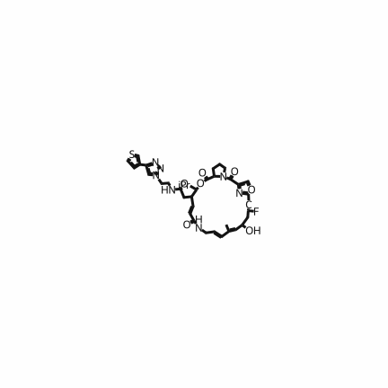 CC1=C\C(O)CC(F)Cc2nc(co2)C(=O)N2CCCC2C(=O)OC(C(C)C)C(CC(=O)NCCn2cc(-c3ccsc3)nn2)/C=C/C(=O)NC\C=C\1